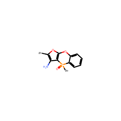 CC(C)c1oc2c(c1N)P(=O)(C(C)C)c1ccccc1O2